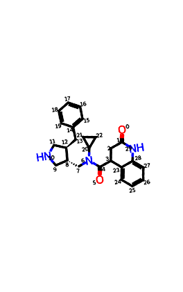 O=C1CC(C(=O)N(C[C@@H]2CNC[C@H]2Cc2ccccc2)C2CC2)c2ccccc2N1